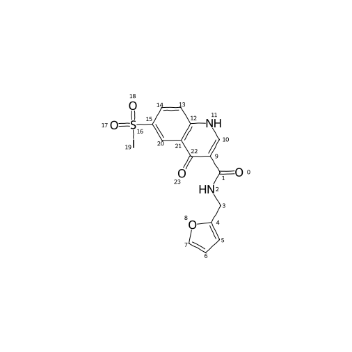 O=C(NCc1ccco1)c1c[nH]c2ccc(S(=O)(=O)I)cc2c1=O